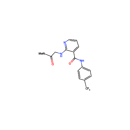 CNC(=O)CNc1ncccc1C(=O)Nc1ccc(C(F)(F)F)cc1